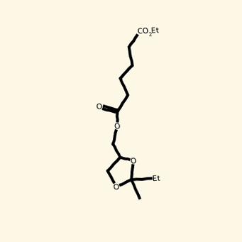 CCOC(=O)CCCCC(=O)OCC1COC(C)(CC)O1